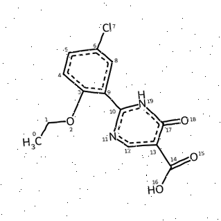 CCOc1ccc(Cl)cc1-c1ncc(C(=O)O)c(=O)[nH]1